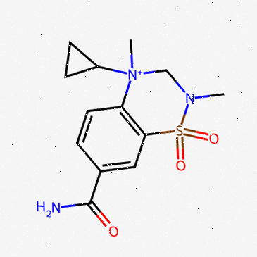 CN1C[N+](C)(C2CC2)c2ccc(C(N)=O)cc2S1(=O)=O